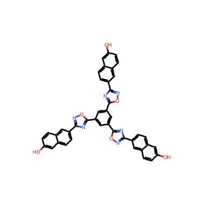 Oc1ccc2cc(-c3noc(-c4cc(-c5nc(-c6ccc7cc(O)ccc7c6)no5)cc(-c5nc(-c6ccc7cc(O)ccc7c6)no5)c4)n3)ccc2c1